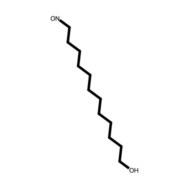 O=NCCCCCCCCCCCCO